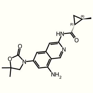 C[C@@H]1C[C@H]1C(=O)Nc1cc2cc(N3CC(C)(C)OC3=O)cc(N)c2cn1